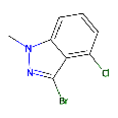 Cn1nc(Br)c2c(Cl)cccc21